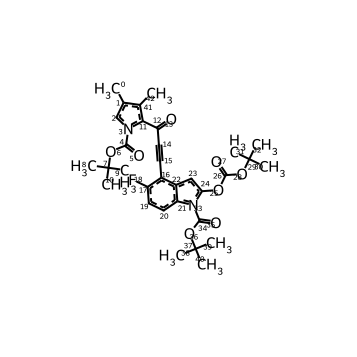 Cc1cn(C(=O)OC(C)(C)C)c(C(=O)C#Cc2c(F)ccc3c2cc(OC(=O)OC(C)(C)C)n3C(=O)OC(C)(C)C)c1C